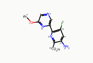 CC(C)Oc1cncc(-c2nc(C(=O)O)c(N)cc2F)n1